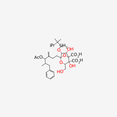 C=C(CCC12OC(CO)C(O)(C(=O)O)C(C(=O)O)(O1)C(O)C2O[SiH2]C(C)(C)C(C)C)C(OC(C)=O)C(C)Cc1ccccc1